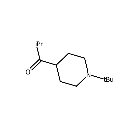 CC(C)C(=O)C1CCN(C(C)(C)C)CC1